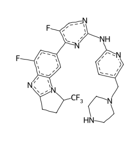 Fc1cnc(Nc2ccc(CN3CCNCC3)cn2)nc1-c1cc(F)c2nc3n(c2c1)C(C(F)(F)F)CC3